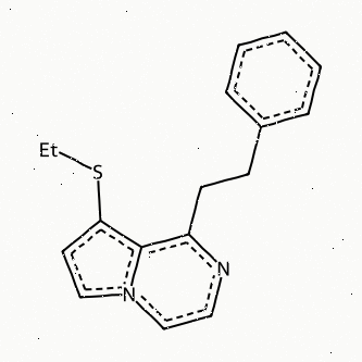 CCSc1ccn2ccnc(CCc3ccccc3)c12